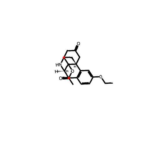 CCOc1ccc2c(c1)[C@]13CCN[C@H](C2)C1(OC(C)=O)CCC(=O)C3